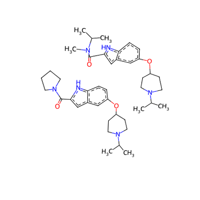 CC(C)N1CCC(Oc2ccc3[nH]c(C(=O)N(C)C(C)C)cc3c2)CC1.CC(C)N1CCC(Oc2ccc3[nH]c(C(=O)N4CCCC4)cc3c2)CC1